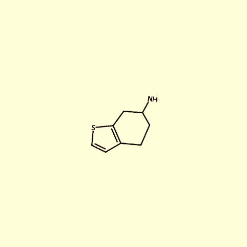 [NH]C1CCc2ccsc2C1